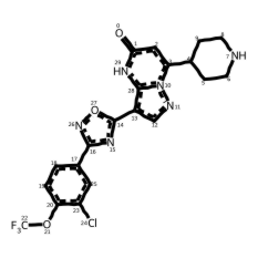 O=c1cc(C2CCNCC2)n2ncc(-c3nc(-c4ccc(OC(F)(F)F)c(Cl)c4)no3)c2[nH]1